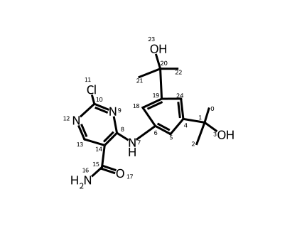 CC(C)(O)c1cc(Nc2nc(Cl)ncc2C(N)=O)cc(C(C)(C)O)c1